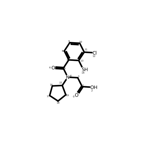 O=C(O)CN(C(=O)c1cccc(Cl)c1S)C1CCCC1